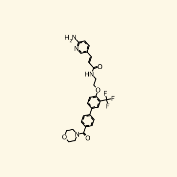 Nc1ccc(C=CC(=O)NCCOc2ccc(-c3ccc(C(=O)N4CCOCC4)cc3)cc2C(F)(F)F)cn1